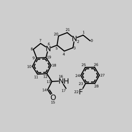 CCN1CCC(N2CCc3ccc(C(C=O)NC)cc32)CC1.Fc1ccccc1